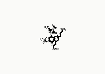 CCCCCCCCCCCCCCCCCCN.Cc1nn(-c2cc(NS(C)(=O)=O)c(Cl)cc2Cl)c(=O)n1C(F)F